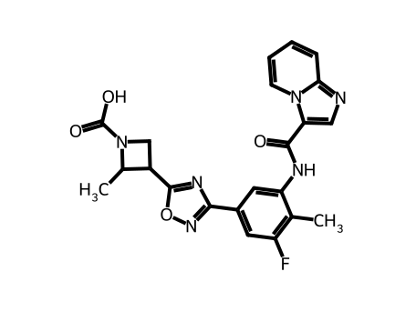 Cc1c(F)cc(-c2noc(C3CN(C(=O)O)C3C)n2)cc1NC(=O)c1cnc2ccccn12